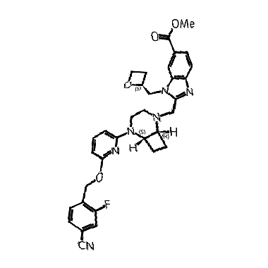 COC(=O)c1ccc2nc(CN3CCN(c4cccc(OCc5ccc(C#N)cc5F)n4)[C@H]4CC[C@H]43)n(C[C@@H]3CCO3)c2c1